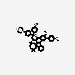 COc1ccc(-c2cc3c4c(c5c(c3cc2OC)OC(c2ccc(OC)cc2)(c2ccc(N3CCOCC3)cc2)C=C5)C2(CC(C)(C)CCC(C)(C)C2)c2ccccc2-4)cc1